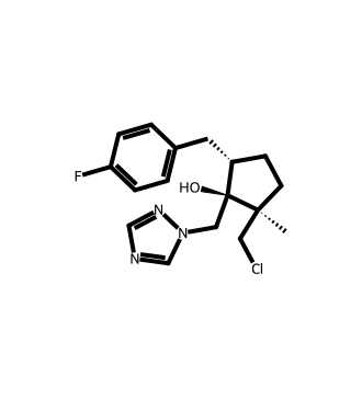 C[C@@]1(CCl)CC[C@@H](Cc2ccc(F)cc2)[C@@]1(O)Cn1cncn1